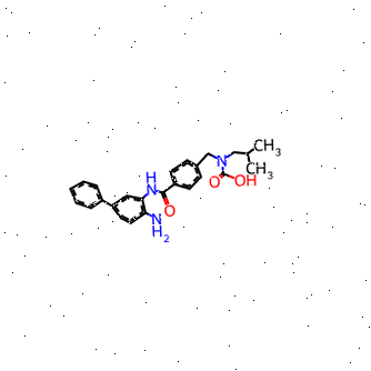 CC(C)CN(Cc1ccc(C(=O)Nc2cc(-c3ccccc3)ccc2N)cc1)C(=O)O